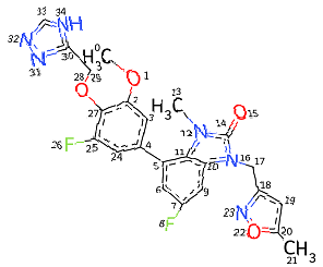 COc1cc(-c2cc(F)cc3c2n(C)c(=O)n3Cc2cc(C)on2)cc(F)c1OCc1nnc[nH]1